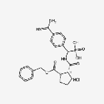 Cl.N=C(N)c1ccc(C(NC(=O)[C@@H]2CCCN2C(=O)OCc2ccccc2)P(=O)(O)O)cc1